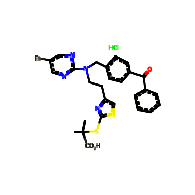 CCc1cnc(N(CCc2csc(SC(C)(C)C(=O)O)n2)Cc2ccc(C(=O)c3ccccc3)cc2)nc1.Cl